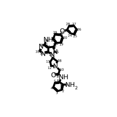 Nc1ccccc1NC(=O)CN1CCC(n2nc(-c3ccc(Oc4ccccc4)cc3)c3c(N)ncnc32)C1